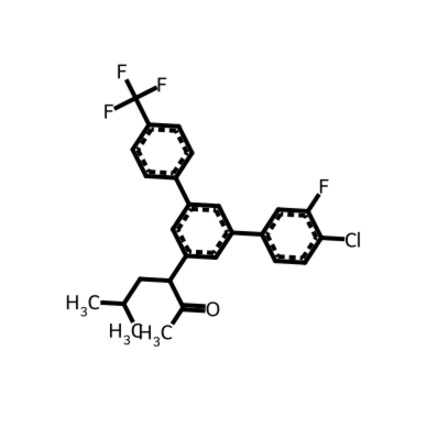 CC(=O)C(CC(C)C)c1cc(-c2ccc(C(F)(F)F)cc2)cc(-c2ccc(Cl)c(F)c2)c1